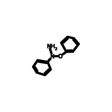 NN(Oc1ccccc1)c1ccccc1